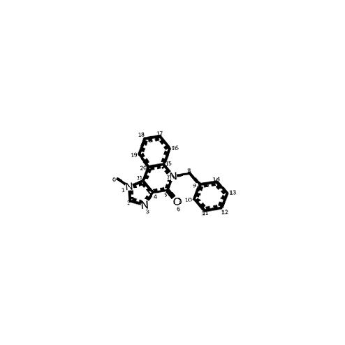 Cn1cnc2c(=O)n(Cc3ccccc3)c3ccccc3c21